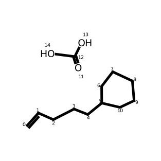 C=CCCCC1CCCCC1.O=C(O)O